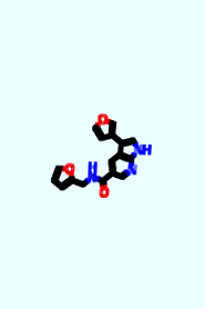 O=C(NCc1ccco1)c1cnc2[nH]cc(-c3ccoc3)c2c1